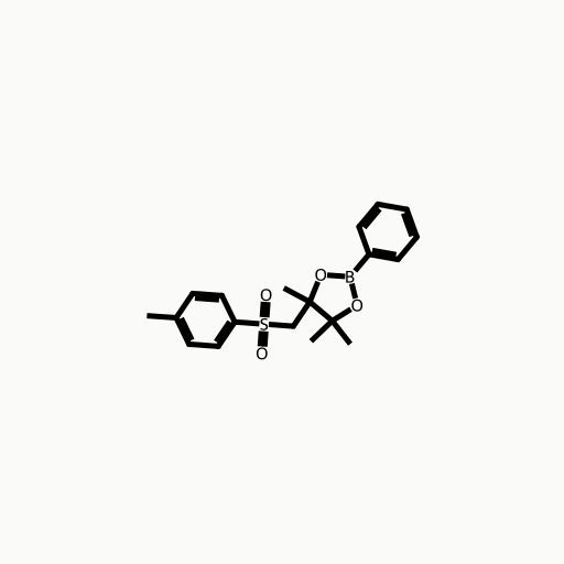 Cc1ccc(S(=O)(=O)CC2(C)OB(c3ccccc3)OC2(C)C)cc1